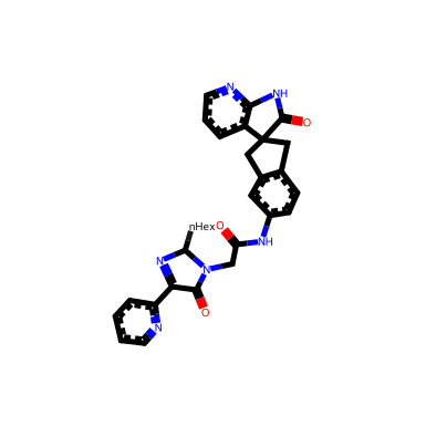 CCCCCCC1N=C(c2ccccn2)C(=O)N1CC(=O)Nc1ccc2c(c1)CC1(C2)C(=O)Nc2ncccc21